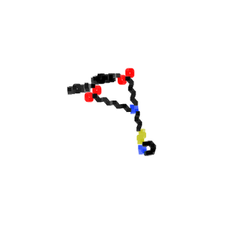 CCCCCCCCCCCOC(=O)CCCCCN(CCCCCCCC(=O)OC(CCCCCCCC)CCCCCCCC)CCCCSSc1ccccn1